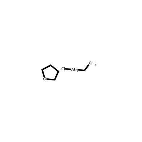 C1CCOC1.C[CH2][Mg][Cl]